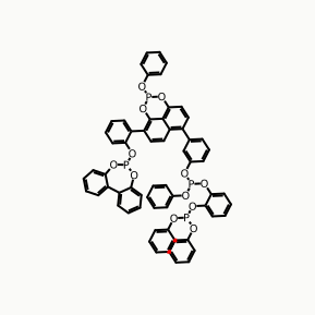 c1ccc(OP(Oc2ccccc2)Oc2ccccc2OP(Oc2ccccc2)Oc2cccc(-c3ccc4c5c(c(-c6ccccc6Op6oc7ccccc7c7ccccc7o6)ccc35)OP(Oc3ccccc3)O4)c2)cc1